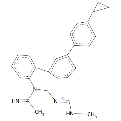 CN/C=N/CN(C(C)=N)c1ccccc1-c1cccc(-c2ccc(C3CC3)cc2)c1